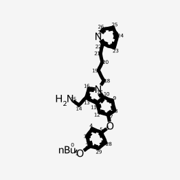 CCCCOc1ccc(Oc2ccc3c(c2)c(CN)cn3CCCCc2ccccn2)cc1